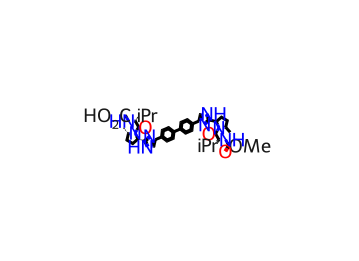 COC(=O)NC(C(=O)N1C(C)CCC1c1nc(-c2ccc(-c3ccc(-c4c[nH]c([C@@H]5CC[C@H](C)N5C(=O)[C@H](NC(=O)O)C(C)C)n4)cc3)cc2)c[nH]1)C(C)C